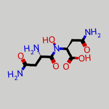 NC(=O)C[C@H](N)C(=O)N(O)[C@@H](CC(N)=O)C(=O)O